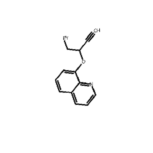 C#CC(CC(C)C)Oc1cccc2cccnc12